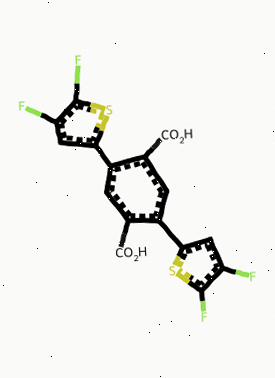 O=C(O)c1cc(-c2cc(F)c(F)s2)c(C(=O)O)cc1-c1cc(F)c(F)s1